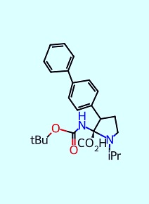 CC(C)N1CCC(c2ccc(-c3ccccc3)cc2)[C@]1(NC(=O)OC(C)(C)C)C(=O)O